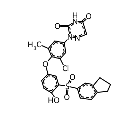 Cc1cc(-n2ncc(=O)[nH]c2=O)cc(Cl)c1Oc1ccc(O)c(S(=O)(=O)c2ccc3c(c2)CCC3)c1